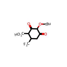 CC(C)(C)OC1C(=O)CC(C(F)(F)F)C(C(=O)O)C1=O